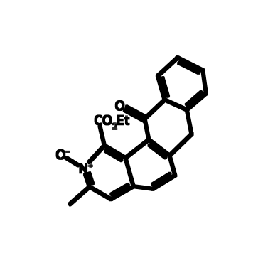 CCOC(=O)c1c2c3c(ccc2cc(C)[n+]1[O-])Cc1ccccc1C3=O